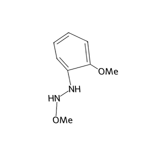 CONNc1ccccc1OC